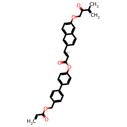 C=CC(=O)OCc1ccc(-c2ccc(OC(=O)/C=C/c3ccc4cc(OCC(=O)C(=C)C)ccc4c3)cc2)cc1